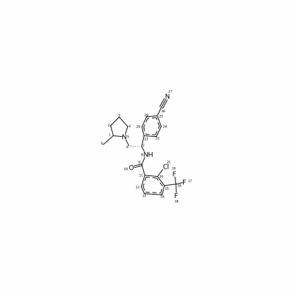 CC1CCCN1C[C@@H](NC(=O)c1cccc(C(F)(F)F)c1Cl)c1ccc(C#N)cc1